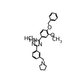 COc1cc(-c2nc(-c3cccc(CN4CCCC4)c3)n[nH]2)ccc1OCc1ccccc1.Cl